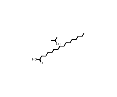 CC(C)O.CCCCCCCCCCCCCCCC(=O)O